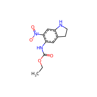 CCOC(=O)Nc1cc2c(cc1[N+](=O)[O-])NCC2